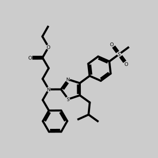 CCOC(=O)CCN(Cc1ccccc1)c1nc(-c2ccc(S(C)(=O)=O)cc2)c(CC(C)C)s1